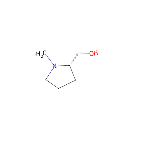 [CH2]N1CCC[C@H]1CO